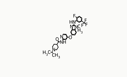 CC(C)N1CCC(C(=O)Nc2cc(Oc3ccc4c(c3)nc(Nc3cc(C(F)(F)F)ccc3F)n4C)ccn2)CC1